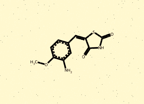 COc1ccc(C=C2SC(=O)NC2=O)cc1N